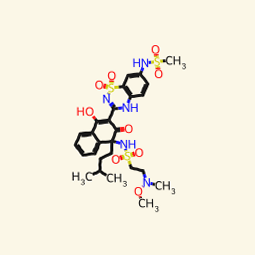 CON(C)CCS(=O)(=O)NC1(CCC(C)C)C(=O)C(C2=NS(=O)(=O)c3cc(NS(C)(=O)=O)ccc3N2)=C(O)c2ccccc21